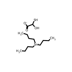 CCC[CH2][Sn+]([CH2]CCC)[CH2]CCC.O=C([O-])C(O)S